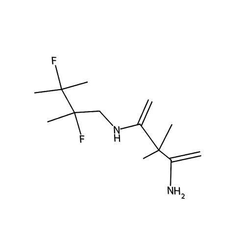 C=C(N)C(C)(C)C(=C)NCC(C)(F)C(C)(C)F